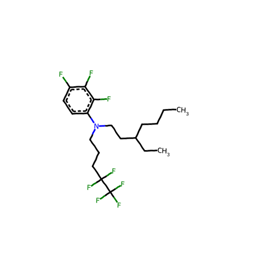 CCCCC(CC)CCN(CCCC(F)(F)C(F)(F)F)c1ccc(F)c(F)c1F